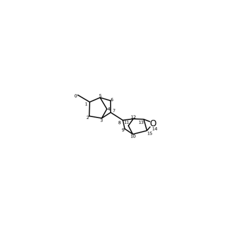 CC1CC2CC1CC2C1CC2CC1C1OC21